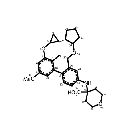 COc1cc(OC2CC2)c(C)c(-c2ccc(NC3(C(=O)O)CCOCC3)cc2COC2CCCC2)c1